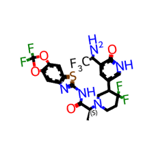 C[C@@H](C(=O)Nc1nc2cc3c(cc2s1)OC(F)(F)O3)N1CCC(F)(F)C(c2c[nH]c(=O)c(C(N)C(F)(F)F)c2)C1